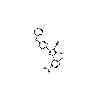 N#Cc1c(-c2ccc(Oc3ccccc3)cc2)nn(-c2cc([N+](=O)[O-])ccc2Br)c1N